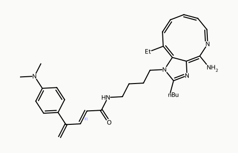 C=C(/C=C/C(=O)NCCCCn1c(CCCC)nc2c(N)ncccccc(CC)c21)c1ccc(N(C)C)cc1